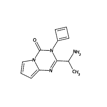 CC(N)c1nc2cccn2c(=O)n1C1=CC=C1